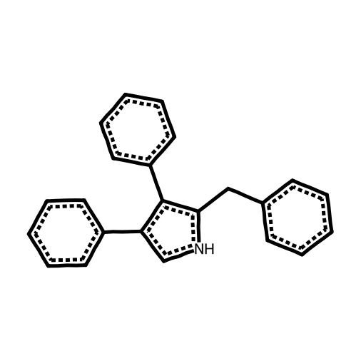 c1ccc(Cc2[nH]cc(-c3ccccc3)c2-c2ccccc2)cc1